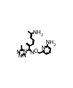 C=C(/C=C\C=C(\C)N)/C(=N\OCc1cccc(N)n1)n1nnnc1C